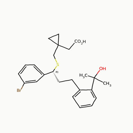 CC(C)(O)c1ccccc1CC[C@@H](SCC1(CC(=O)O)CC1)c1cccc(Br)c1